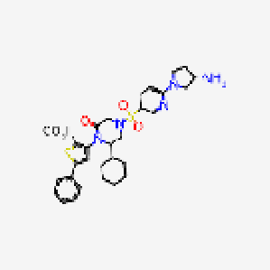 N[C@H]1CCN(C2=CCC(S(=O)(=O)N3CC(=O)N(c4cc(-c5ccccc5)sc4C(=O)O)[C@H](C4CCCCC4)C3)C=N2)C1